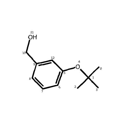 CC(C)(C)Oc1cccc(CO)c1